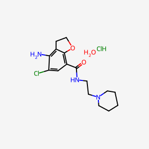 Cl.Nc1c(Cl)cc(C(=O)NCCN2CCCCC2)c2c1CCO2.O